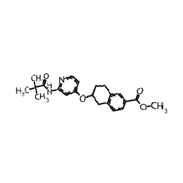 COC(=O)c1ccc2c(c1)CCC(Oc1ccnc(NC(=O)C(C)(C)C)c1)C2